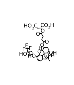 CN1CC[C@]23c4c5ccc(O)c4O[C@H]2C(OC(=O)CCC(=O)O[C@H](CC(=O)O)C(=O)O)=CC[C@@]3(O)[C@H]1C5.O=C(O)C(F)(F)F